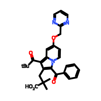 CC(C)(C)C(=O)c1c(CC(C)(C)C(=O)O)c(C(=O)c2ccccc2)n2ccc(OCc3ncccn3)cc12